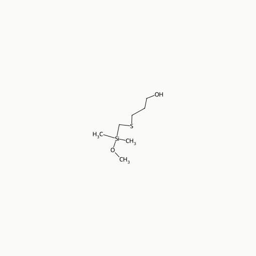 CO[Si](C)(C)CSCCCO